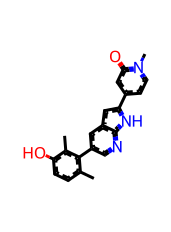 Cc1ccc(O)c(C)c1-c1cnc2[nH]c(-c3ccn(C)c(=O)c3)cc2c1